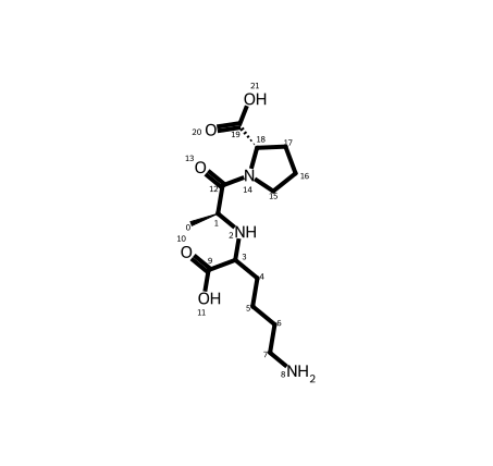 C[C@H](NC(CCCCN)C(=O)O)C(=O)N1CCC[C@H]1C(=O)O